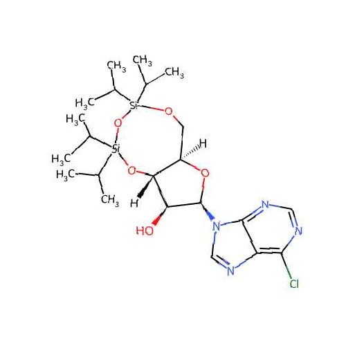 CC(C)[Si]1(C(C)C)OC[C@H]2O[C@@H](n3cnc4c(Cl)ncnc43)[C@@H](O)[C@@H]2O[Si](C(C)C)(C(C)C)O1